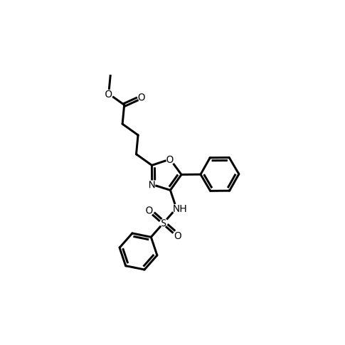 COC(=O)CCCc1nc(NS(=O)(=O)c2ccccc2)c(-c2ccccc2)o1